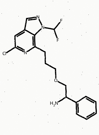 NC(COCCCc1nc(Cl)cc2cnn(C(F)F)c12)c1ccccc1